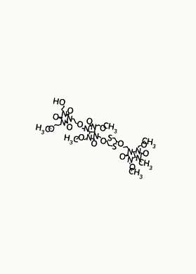 COCCn1c(=O)n(CCO)c(=O)n(CCOCN2C(=O)N(COC)C3C2N(COC)C(=O)N3COC2CSC(OCCN3C(=O)N(COC)C4C3N(COC)C(=O)N4C)CS2)c1=O